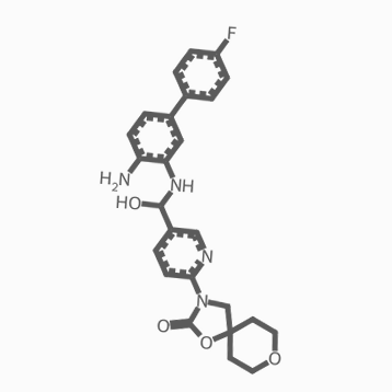 Nc1ccc(-c2ccc(F)cc2)cc1NC(O)c1ccc(N2CC3(CCOCC3)OC2=O)nc1